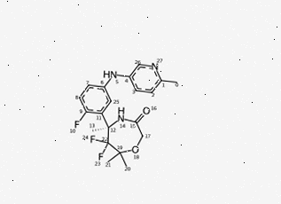 Cc1ccc(Nc2ccc(F)c([C@@]3(C)NC(=O)COC(C)(C)C3(F)F)c2)cn1